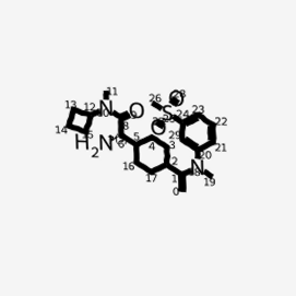 C=C(C1CCC([C@H](N)C(=O)N(C)C2CCC2)CC1)N(C)c1cccc(S(C)(=O)=O)c1